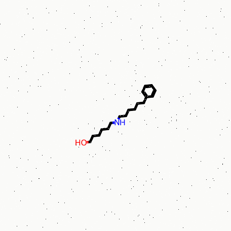 OCCCCCCNCCCCCCc1ccccc1